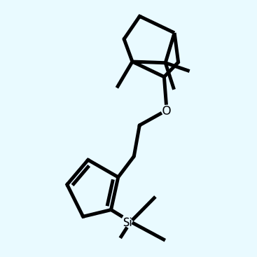 CC1(C)C2CCC1(C)C(OCCC1=C([Si](C)(C)C)CC=C1)C2